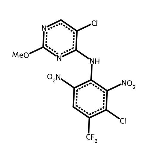 COc1ncc(Cl)c(Nc2c([N+](=O)[O-])cc(C(F)(F)F)c(Cl)c2[N+](=O)[O-])n1